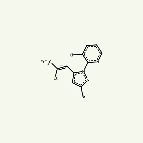 CCOC(=O)/C(=C/c1cc(Br)nn1-c1ncccc1Cl)CC